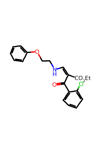 CCOC(=O)C(=CNCCOc1ccccc1)C(=O)c1ccccc1Cl